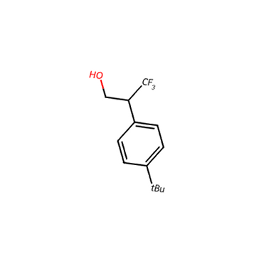 CC(C)(C)c1ccc(C(CO)C(F)(F)F)cc1